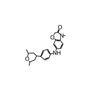 CC1CC(c2ccc(Nc3ccc4c(c3)OCC(=O)N4C)cc2)CC(C)O1